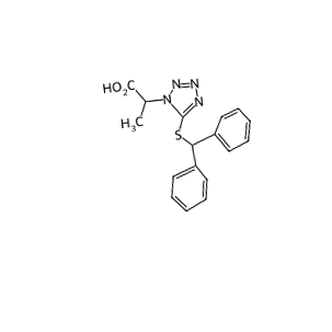 CC(C(=O)O)n1nnnc1SC(c1ccccc1)c1ccccc1